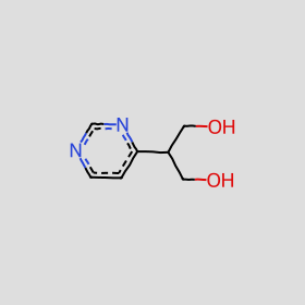 OCC(CO)c1ccncn1